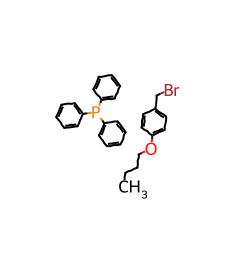 CCCCOc1ccc(CBr)cc1.c1ccc(P(c2ccccc2)c2ccccc2)cc1